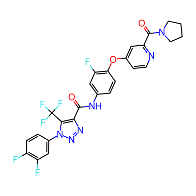 O=C(Nc1ccc(Oc2ccnc(C(=O)N3CCCC3)c2)c(F)c1)c1nnn(-c2ccc(F)c(F)c2)c1C(F)(F)F